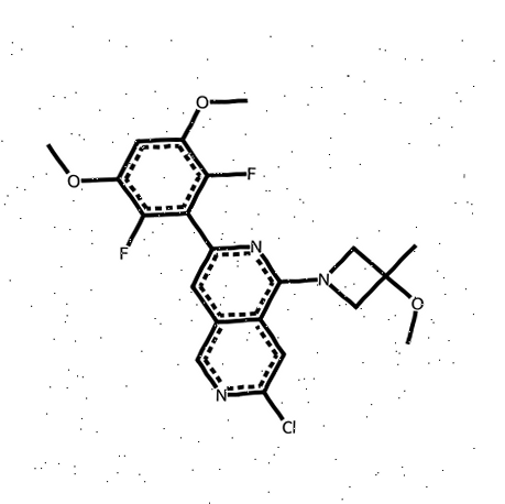 COc1cc(OC)c(F)c(-c2cc3cnc(Cl)cc3c(N3CC(C)(OC)C3)n2)c1F